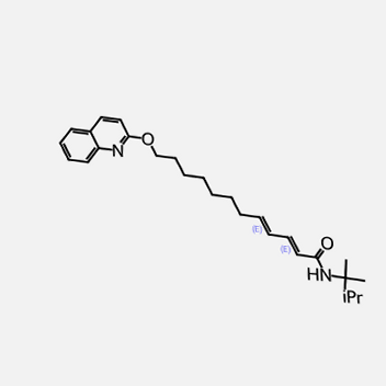 CC(C)C(C)(C)NC(=O)/C=C/C=C/CCCCCCCOc1ccc2ccccc2n1